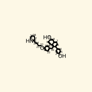 Oc1ccc(-c2ccc3cc(O)ccc3c2Cc2ccc(OCCCCC3CCCCN3)cc2)cc1